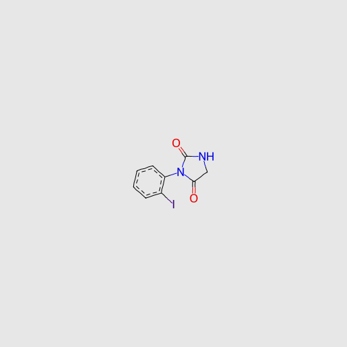 O=C1CNC(=O)N1c1ccccc1I